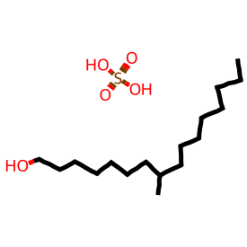 CCCCCCCCC(C)CCCCCCCO.O=S(=O)(O)O